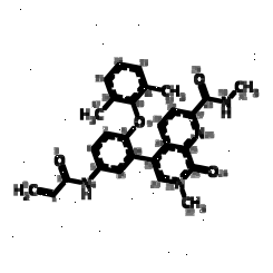 C=CC(=O)Nc1ccc(Oc2c(C)cccc2C)c(-c2cn(C)c(=O)c3nc(C(=O)NC)ccc23)c1